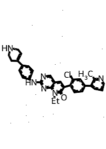 CCn1c(=O)c(-c2ccc(-c3cccnc3C)cc2Cl)cc2cnc(Nc3ccc(C4=CCNCC4)cc3)nc21